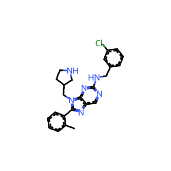 Cc1ccccc1-c1nc2cnc(NCc3cccc(Cl)c3)nc2n1CC1CCNC1